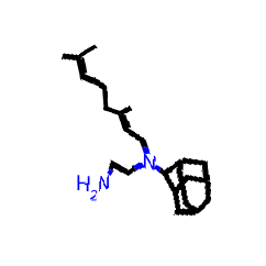 CC(C)=CCC/C(C)=C/CN(CCN)C1C2CC3CC(C2)CC1C3